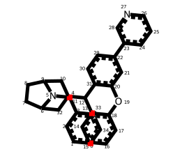 c1ccc(CN2C3CCC2CC(C2c4ccccc4Oc4cc(-c5cccnc5)ccc42)C3)nc1